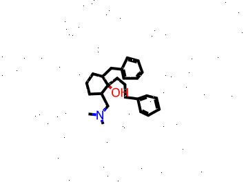 CN(C)CC1CCCC(Cc2ccccc2)C1(O)CCCc1ccccc1